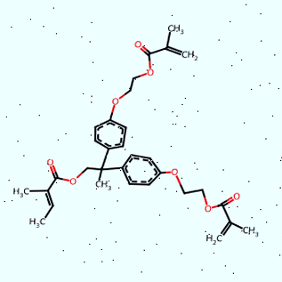 C=C(C)C(=O)OCCOc1ccc(C(C)(COC(=O)C(C)=CC)c2ccc(OCCOC(=O)C(=C)C)cc2)cc1